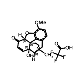 COc1ccc2c3c1O[C@H]1C(=O)C=C[C@@]4(O)[C@@H](C2)N(C)CC[C@]314.O=C(O)C(F)(F)F